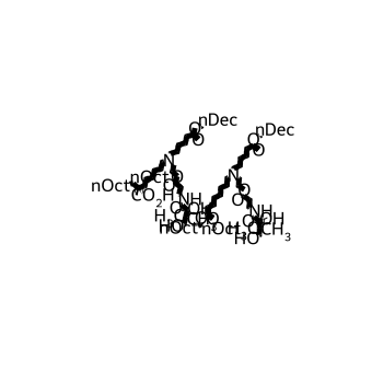 CCCCCCCCCCCOC(=O)CCCCCN(CCCCCCCC(=O)OC(CCCCCCCC)CCCCCCCC)CCOC(=O)CCNC(=O)[C@H](O)C(C)(C)CO.CCCCCCCCCCCOC(=O)CCCCCN(CCCCCC[C@@H](C(=O)O)C(CCCCCCCC)CCCCCCCC)CCOC(=O)CCNC(=O)C(O)C(C)(C)CO